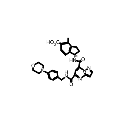 Cc1c(C(=O)O)ccc2c1CC[C@@H]2NC(=O)c1cc(C(=O)NCc2ccc(N3CCOCC3)cc2)nc2ccnn12